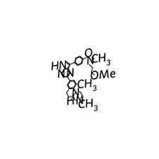 COCCCN(C)C(=O)c1ccc(-c2c[nH]c3ncc(-c4cc(C)c5c(c4)CC[C@H]4CN(C)CCN54)nc23)cc1